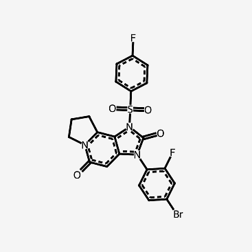 O=c1cc2c(c3n1CCC3)n(S(=O)(=O)c1ccc(F)cc1)c(=O)n2-c1ccc(Br)cc1F